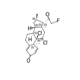 C[C@@H]1C[C@H]2[C@@H]3CCC4=CC(=O)C=C[C@]4(C)[C@@]3(Cl)[C@@H](Cl)C[C@]2(C)[C@H]1C(=O)CF